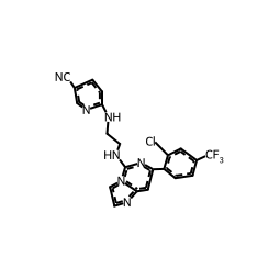 N#Cc1ccc(NCCNc2nc(-c3ccc(C(F)(F)F)cc3Cl)cc3nccn23)nc1